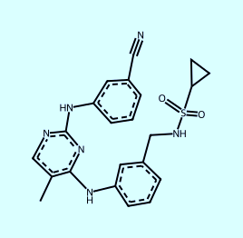 Cc1cnc(Nc2cccc(C#N)c2)nc1Nc1cccc(CNS(=O)(=O)C2CC2)c1